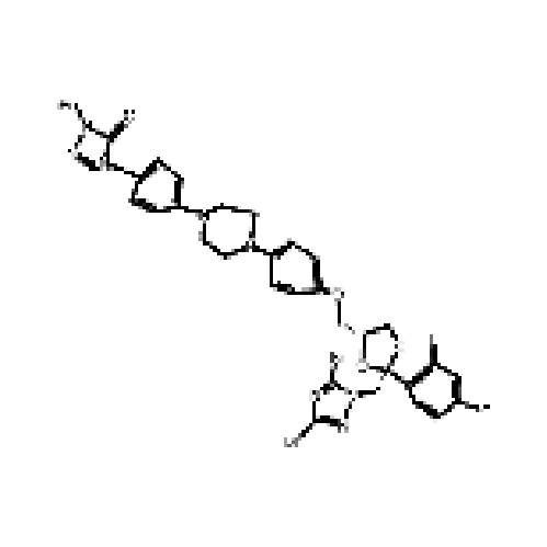 CCC(C)n1ncn(-c2ccc(N3CCN(c4ccc(OC[C@@H]5CO[C@@](Cn6nc(Br)nc6Br)(c6ccc(F)cc6F)O5)cc4)CC3)cc2)c1=O